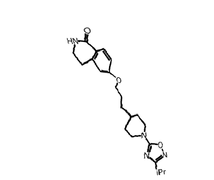 CC(C)c1noc(N2CCC(CCCOc3ccc4c(c3)CCNC4=O)CC2)n1